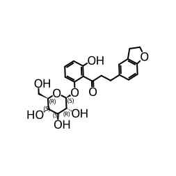 O=C(CCc1ccc2c(c1)CCO2)c1c(O)cccc1O[C@@H]1O[C@H](CO)[C@@H](O)[C@H](O)[C@H]1O